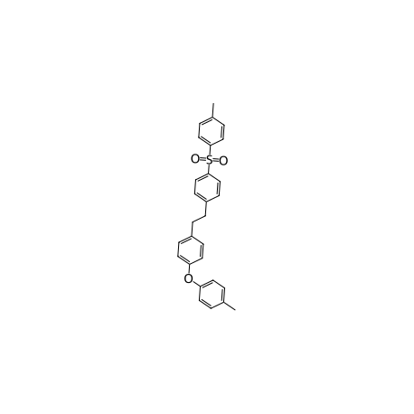 Cc1ccc(Oc2ccc(CCc3ccc(S(=O)(=O)c4ccc(C)cc4)cc3)cc2)cc1